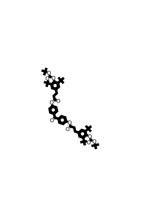 CC(C)(C)OC(=O)Oc1c(C(C)(C)C)cc(CCC(=O)Oc2ccc(C(=O)c3ccc(OC(=O)CCc4cc(C(C)(C)C)c(OC(=O)OC(C)(C)C)c(C(C)(C)C)c4)cc3)cc2)cc1C(C)(C)C